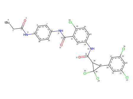 CC(C)(C)CC(=O)Nc1ccc(NC(=O)c2cc(NC(=O)C3C(c4cc(Cl)cc(Cl)c4)C3(Cl)Cl)ccc2Cl)cc1